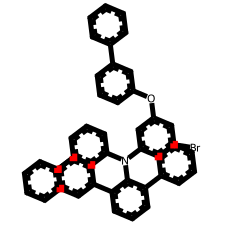 Brc1cc(Oc2cccc(-c3ccccc3)c2)cc(N(c2cccc(-c3ccccc3)c2)c2c(-c3ccccc3)cccc2-c2ccccc2)c1